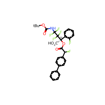 CC(C)(C)OC(=O)NC(F)(F)C(F)(F)[C@@](OC(=O)C(F)c1ccc(-c2ccccc2)cc1)(C(=O)O)c1ccccc1F